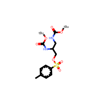 Cc1ccc(S(=O)(=O)OCC(CNC(=O)OC(C)(C)C)NC(=O)OC(C)(C)C)cc1